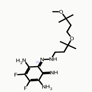 COC(C)(C)CCOC(C)(C)CCN/N=C1\C(=N)C(N)=C(F)C(F)=C1N